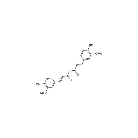 COc1cc(/C=C/C(=O)CC(=O)/C=C/c2ccc(N=O)c(OC)c2)ccc1N=O